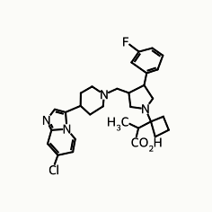 CC(C(=O)O)C1(N2CC(CN3CCC(c4cnc5cc(Cl)ccn45)CC3)C(c3cccc(F)c3)C2)CCC1